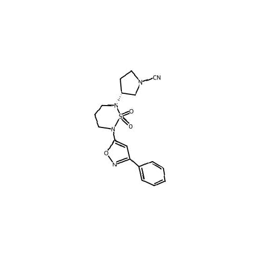 N#CN1CC[C@@H](N2CCCN(c3cc(-c4ccccc4)no3)S2(=O)=O)C1